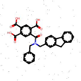 O=C(O)c1cc(C(=O)O)c(C(=O)N(Cc2ccccc2)Cc2ccc3c(c2)Cc2ccccc2-3)cc1C(=O)O